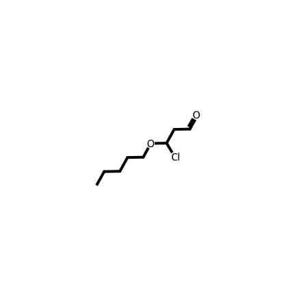 CCCCCOC(Cl)CC=O